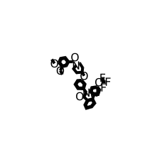 COc1ccc(C(=O)N2CCC(Oc3cccc(NC(=O)c4ccccc4-c4ccc(OC(F)(F)F)cc4)c3)CC2)cc1OC